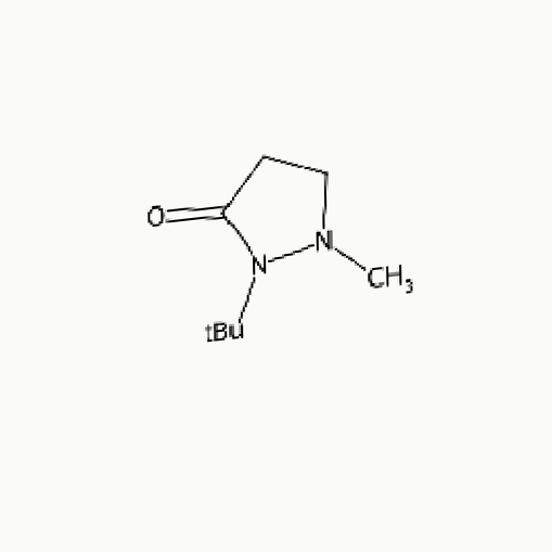 CN1CCC(=O)N1C(C)(C)C